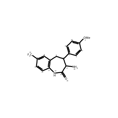 COc1ccc(C2Cc3cc(C(F)(F)F)ccc3NC(=O)C2N)cc1